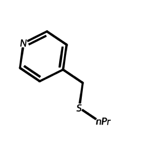 [CH2]CCSCc1ccncc1